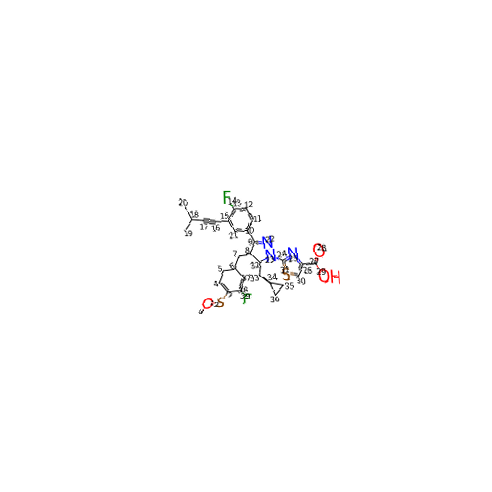 COSC1=CCC(CC2C(c3ccc(F)c(C#CC(C)C)c3)=NN(c3nc(C(=O)O)cs3)C2CC2CC2)C=C1F